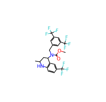 COC(=O)N(Cc1cc(C(F)(F)F)cc(C(F)(F)F)c1)C1CC(C)Nc2ccc(C(F)(F)F)cc21